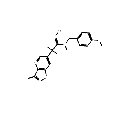 COc1ccc(CN(N)/C(=N\N)C(F)(F)c2cnc3c(C)n[nH]c3c2)cc1